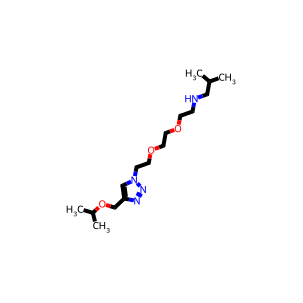 CC(C)CNCCOCCOCCn1cc(COC(C)C)nn1